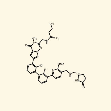 C=C(CCO)NCc1nn2cc(-c3cccc(-c4cccc(-c5ccc(CNC[C@@H]6CCC(=O)N6)c(OC)n5)c4Cl)c3Cl)cc2c(=O)n1C